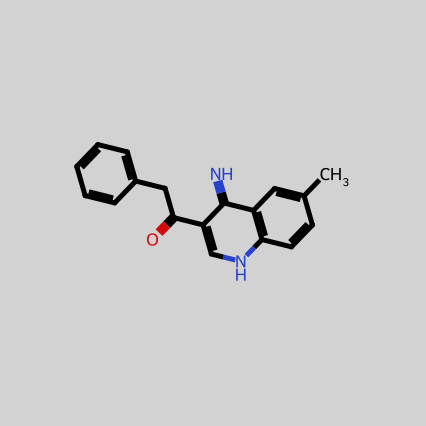 Cc1ccc2[nH]cc(C(=O)Cc3ccccc3)c(=N)c2c1